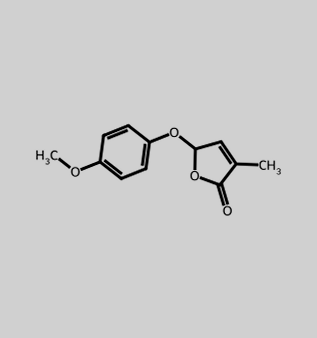 COc1ccc(OC2C=C(C)C(=O)O2)cc1